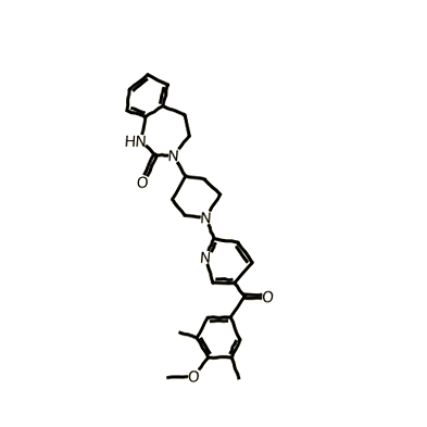 COc1c(C)cc(C(=O)c2ccc(N3CCC(N4CCc5ccccc5NC4=O)CC3)nc2)cc1C